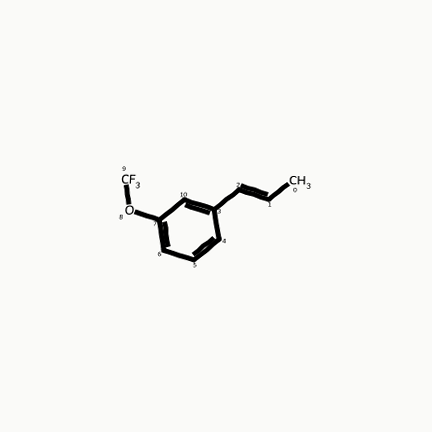 C/C=C/c1cccc(OC(F)(F)F)c1